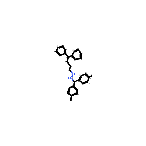 Cc1ccc(C(NNCCCC(c2ccccc2)c2ccccc2)c2ccc(C)cc2)cc1